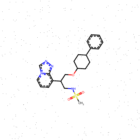 CS(=O)(=O)NCC(COC1CCC(c2ccccc2)CC1)c1cccn2cnnc12